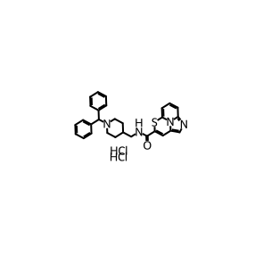 Cl.Cl.O=C(NCC1CCN(C(c2ccccc2)c2ccccc2)CC1)C1=Cc2cnc3cccc(n23)S1